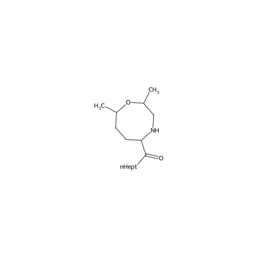 CCCCCCCC(=O)C1CCC(C)OC(C)CN1